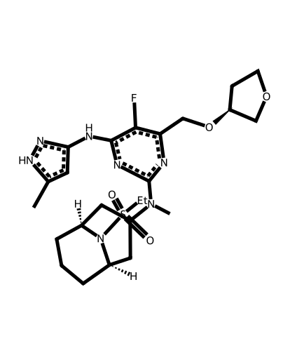 CCS(=O)(=O)N1[C@@H]2CCC[C@H]1CC(N(C)c1nc(CO[C@H]3CCOC3)c(F)c(Nc3cc(C)[nH]n3)n1)C2